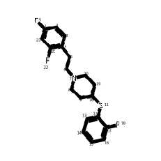 Fc1ccc(CCN2CCC(Sc3ccccc3F)CC2)c(F)c1